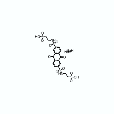 O=C1c2ccc(S(=O)(=O)NCCS(=O)(=O)O)cc2C(=O)c2ccc(S(=O)(=O)NCCS(=O)(=O)O)cc21.[NaH].[NaH]